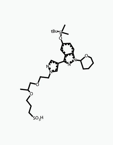 CC(COCCn1cc(-c2nn(C3CCCCO3)c3ccc(O[Si](C)(C)C(C)(C)C)cc23)cn1)OCCCS(=O)(=O)O